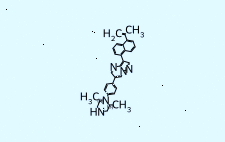 C=C(C)c1cccc2c(-c3cnn4cc(-c5ccc(N6[C@H](C)CNC[C@@H]6C)cc5)cnc34)cccc12